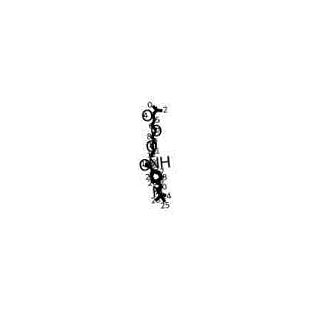 CC(C)C(=O)CCOCCOCCNC(=O)c1ccc(/C=N/C(C)(C)C)cc1